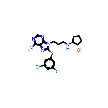 Nc1ncnc2c1nc(Sc1cc(Cl)cc(Cl)c1)n2CCCN[C@H]1CCC[C@@H]1O